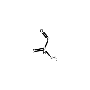 N[PH](=S)P=O